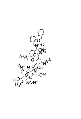 C[C@H]1[C@H](O)[C@H](CN=[N+]=[N-])O[C@H](O[C@H]2[C@@H](O)[C@H](O[C@@H]3[C@@H](O)[C@H](N=[N+]=[N-])C[C@H](N=[N+]=[N-])[C@H]3O[C@H]3O[C@H]([C@H](C)N(Cc4ccccc4)C(=O)OCc4ccccc4)CC[C@H]3N=[N+]=[N-])O[C@@H]2CO)[C@@H]1N=[N+]=[N-]